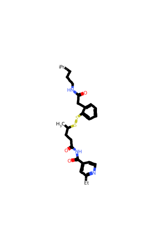 CCc1cc(C(=O)NC(=O)CCC(C)SSc2ccccc2CC(=O)NCCCC(C)C)ccn1